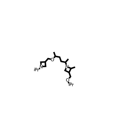 CC(C)OCC1CN(C(C)CCC(C)OCC2CN(C(C)C)C2)C1C